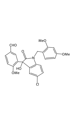 COc1ccc(CN2C(=O)C(O)(c3cc(C=O)ccc3OC)c3cc(Cl)ccc32)c(OC)c1